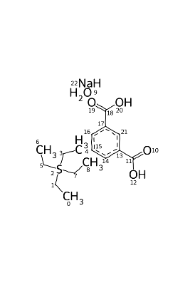 CCS(CC)(CC)CC.O.O=C(O)c1cccc(C(=O)O)c1.[NaH]